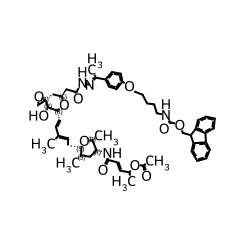 CC(=O)OC(C)C=CC(=O)N[C@@H]1C[C@H](C)[C@H](CC=C(C)C=C[C@H]2O[C@H](CC(=O)NN=C(C)c3ccc(OCCCCCNC(=O)OCC4c5ccccc5-c5ccccc54)cc3)C[C@@]3(CO3)[C@@H]2O)O[C@@H]1C